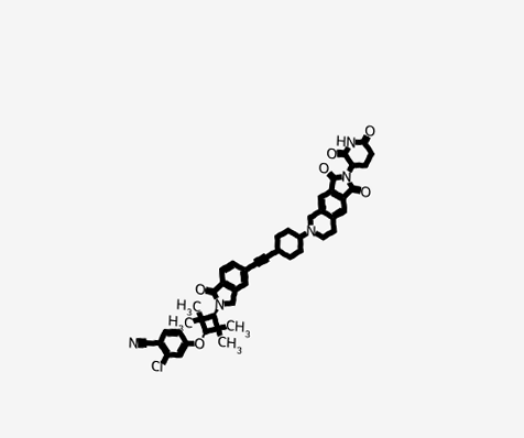 CC1(C)[C@H](Oc2ccc(C#N)c(Cl)c2)C(C)(C)[C@H]1N1Cc2cc(C#CC3CCC(N4CCc5cc6c(cc5C4)C(=O)N(C4CCC(=O)NC4=O)C6=O)CC3)ccc2C1=O